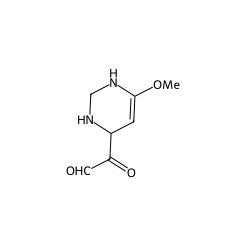 COC1=CC(C(=O)C=O)NCN1